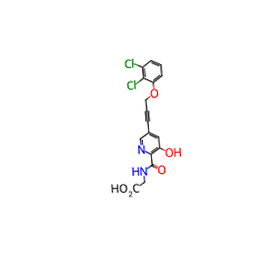 O=C(O)CNC(=O)c1ncc(C#CCOc2cccc(Cl)c2Cl)cc1O